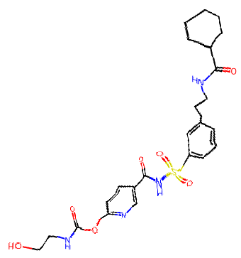 O=C(NCCO)Oc1ccc(C(=O)NS(=O)(=O)c2cccc(CCNC(=O)C3CCCCC3)c2)cn1